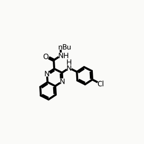 CCCCNC(=O)c1nc2ccccc2nc1Nc1ccc(Cl)cc1